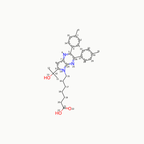 Cc1ccc(-c2nc3cc(C(C)(C)O)n(CCCCCCC(=O)O)c3nc2-c2ccc(C)cc2)cc1